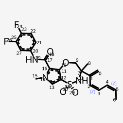 C=C(/C=C\C=C/C)C1(C)COc2c(cn(C)c2C(=O)Nc2ccc(F)c(F)c2)S(=O)(=O)N1